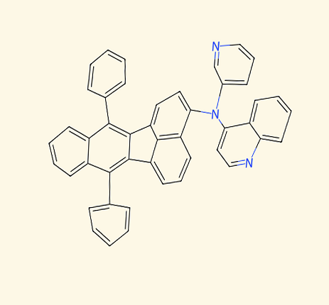 c1ccc(-c2c3c(c(-c4ccccc4)c4ccccc24)-c2ccc(N(c4cccnc4)c4ccnc5ccccc45)c4cccc-3c24)cc1